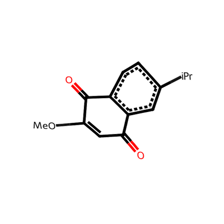 COC1=CC(=O)c2cc(C(C)C)ccc2C1=O